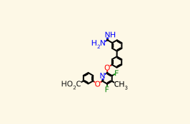 Cc1c(F)c(Oc2cccc(C(=O)O)c2)nc(Oc2cccc(-c3cccc(C(=N)N)c3)c2)c1F